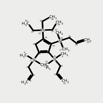 C=CC[Si](C)(C)C1=C([Si](C)(C)CC=C)C([Si](C)(C)CC=C)=[C]([Pt]([CH2]C)([CH2]C)[CH2]C)C1